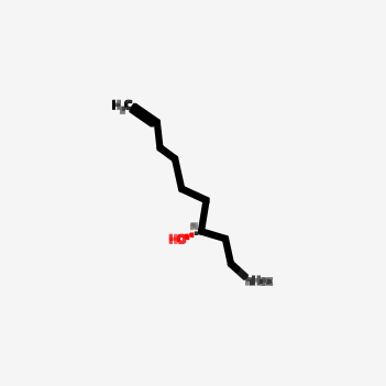 C=CCCCC[C@@H](O)CCCCCCCC